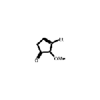 CCC1=CCC(=O)C1OC